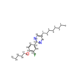 CCCCCCCCc1cnc(-c2ccc(OCCCCC)c(F)c2)nc1